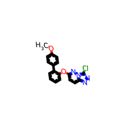 COc1ccc(-c2ccccc2Oc2ccc3nnc(Cl)n3n2)cc1